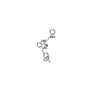 Cc1cc(Cc2nnc(NCCNc3ccccc3)c3ccccc23)ccn1